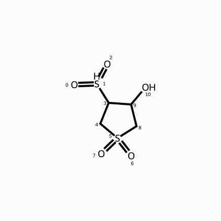 O=[SH](=O)C1CS(=O)(=O)CC1O